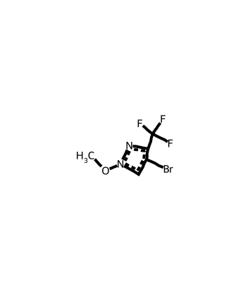 COn1cc(Br)c(C(F)(F)F)n1